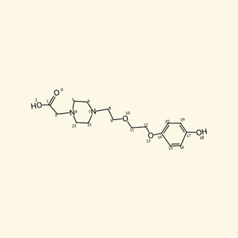 O=C(O)CN1CCN(CCOCCOc2ccc(O)cc2)CC1